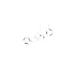 CCC[C@]1(C(=O)c2ccc(C)c(C)c2)CCN(Cc2ccccc2)C1